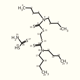 CCCCN(CCCC)C(=S)SCSC(=S)N(CCCC)CCCC.NC(=S)S